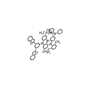 Cc1cc2c3c(c1)N(c1c(C)cccc1C)c1ccc(N(c4ccccc4)c4ccccc4)cc1B3c1cc(C(C)(C)C)ccc1N2c1cc(-c2cc3ccccc3o2)cc(-c2cc3ccccc3o2)c1